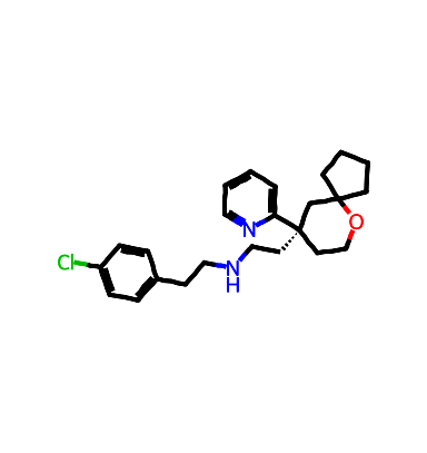 Clc1ccc(CCNCC[C@@]2(c3ccccn3)CCOC3(CCCC3)C2)cc1